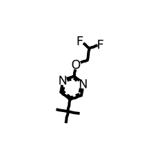 CC(C)(C)c1cnc(OCC(F)F)nc1